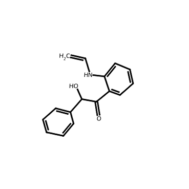 C=CNc1ccccc1C(=O)C(O)c1ccccc1